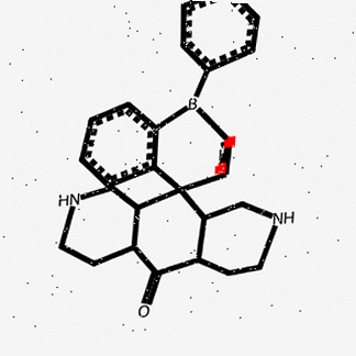 O=C1C2CCNCC2C2(c3ccccc3B(c3ccccc3)C3CCCNC32)C2CNCCC12